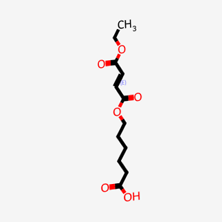 CCOC(=O)/C=C/C(=O)OCCCCCC(=O)O